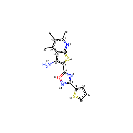 Cc1nc2sc(-c3nc(-c4cccs4)no3)c(N)c2c(C)c1C